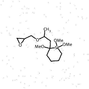 COC1(CC(C)OCC2CO2)CCCC[Si]1(OC)OC